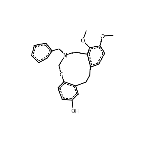 COc1ccc2c(c1OC)CN(Cc1ccccc1)CCc1ccc(O)cc1CC2